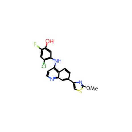 COc1nc(-c2ccc3c(Nc4cc(O)c(F)cc4Cl)ccnc3c2)cs1